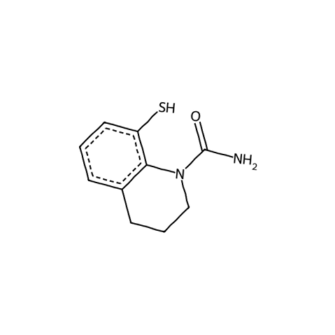 NC(=O)N1CCCc2cccc(S)c21